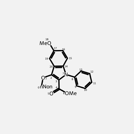 CCCCCCCCCOc1c(C(=O)OC)n(-c2ccccc2)c2ccc(OC)cc12